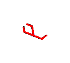 CCCCCCCC/C=C\CCCCCCCCCCCCN(CCCCCCCCCCCC/C=C\CCCCCCCC)CCCCCCCCCCCC/C=C\CCCCCCCC